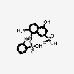 Nc1ccc2c(O)cc(S(=O)(=O)O)cc2c1/N=N/c1ccccc1S(=O)(=O)O